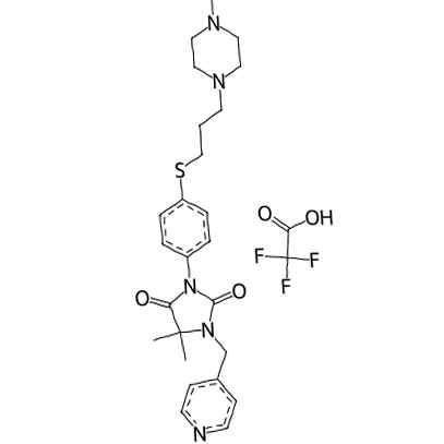 CN1CCN(CCCSc2ccc(N3C(=O)N(Cc4ccncc4)C(C)(C)C3=O)cc2)CC1.O=C(O)C(F)(F)F